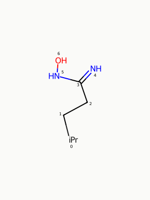 CC(C)CCC(=N)NO